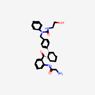 NCC(=O)Nc1ccccc1C(=O)[C@H]1CCCC[C@H]1c1ccc(CN(C(=O)NCCO)c2ccccc2)cc1